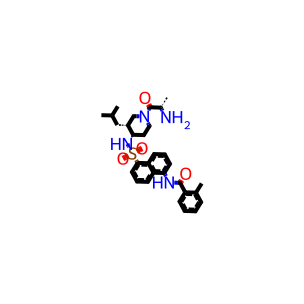 Cc1ccccc1C(=O)Nc1cccc2c(S(=O)(=O)N[C@H]3CCN(C(=O)[C@H](C)N)C[C@H]3CC(C)C)cccc12